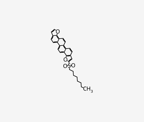 CCCCCCCCS(=O)(=O)c1cc2ccc3c4ccc5c(ccc6ccoc65)c4ccc3c2o1